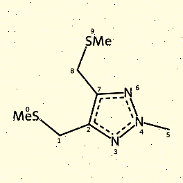 CSCc1nn(C)nc1CSC